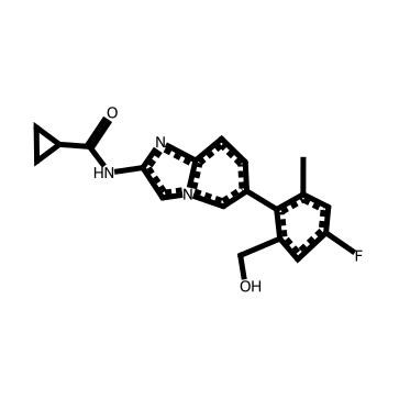 Cc1cc(F)cc(CO)c1-c1ccc2nc(NC(=O)C3CC3)cn2c1